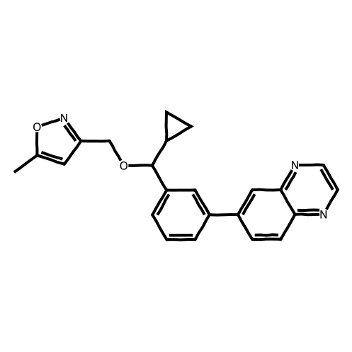 Cc1cc(COC(c2cccc(-c3ccc4nccnc4c3)c2)C2CC2)no1